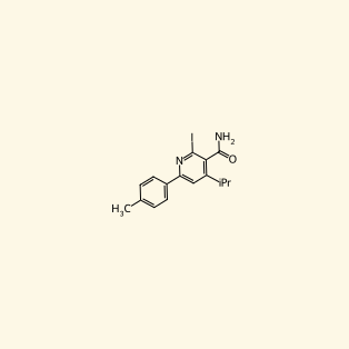 Cc1ccc(-c2cc(C(C)C)c(C(N)=O)c(I)n2)cc1